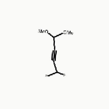 COC(C#CC(F)F)OC